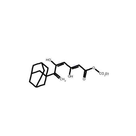 C=C(/C(O)=C\C(O)=C\C(=O)OC(=O)OCC)C12CC3CC(CC(C3)C1)C2